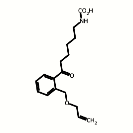 C=CCOCc1ccccc1C(=O)CCCCCNC(=O)O